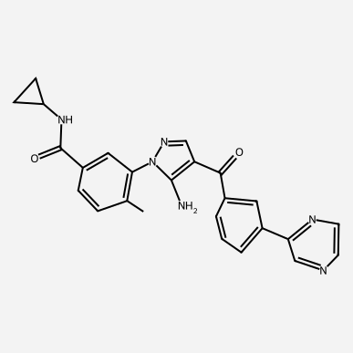 Cc1ccc(C(=O)NC2CC2)cc1-n1ncc(C(=O)c2cccc(-c3cnccn3)c2)c1N